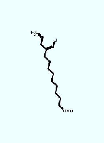 C=CCC(=CCl)CCCCCCCCCCCCCCCCCC